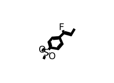 CC=C(F)c1ccc(S(C)(=O)=O)cc1